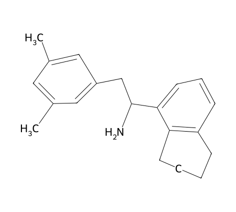 Cc1cc(C)cc(CC(N)c2cccc3c2CCCC3)c1